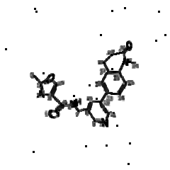 Cc1nc(C(=O)NCc2cncc(-c3ccc4c(c3)CCC(=O)N4C)c2)co1